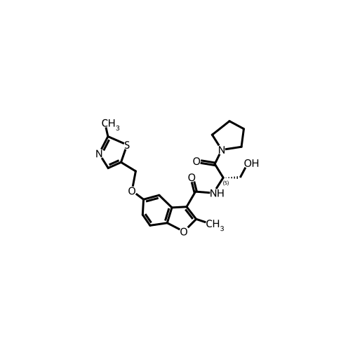 Cc1ncc(COc2ccc3oc(C)c(C(=O)N[C@@H](CO)C(=O)N4CCCC4)c3c2)s1